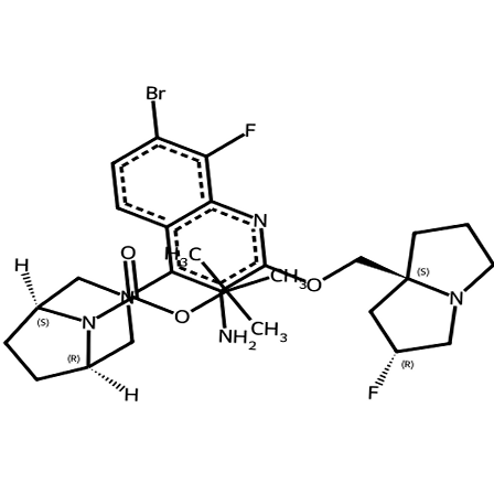 CC(C)(C)OC(=O)N1[C@@H]2CC[C@H]1CN(c1c(N)c(OC[C@@]34CCCN3C[C@H](F)C4)nc3c(F)c(Br)ccc13)C2